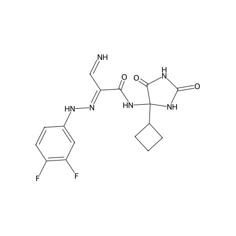 N=C/C(=N\Nc1ccc(F)c(F)c1)C(=O)NC1(C2CCC2)NC(=O)NC1=O